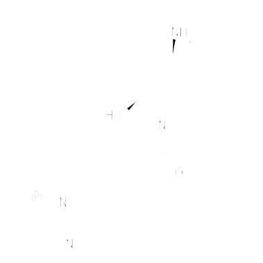 CC(C)n1ncc2cc(C(=O)N3c4ccccc4[C@H](N)C[C@@H]3C)ccc21